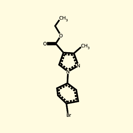 CCOC(=O)c1cn(-c2ccc(Br)cc2)nc1C